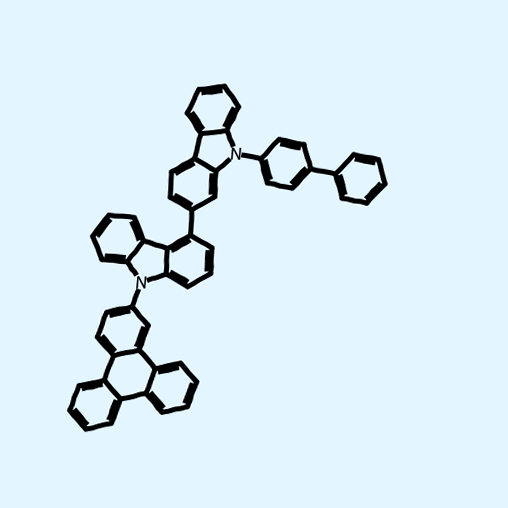 c1ccc(-c2ccc(-n3c4ccccc4c4ccc(-c5cccc6c5c5ccccc5n6-c5ccc6c7ccccc7c7ccccc7c6c5)cc43)cc2)cc1